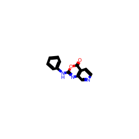 O=c1oc(Nc2ccccc2)nc2cnccc12